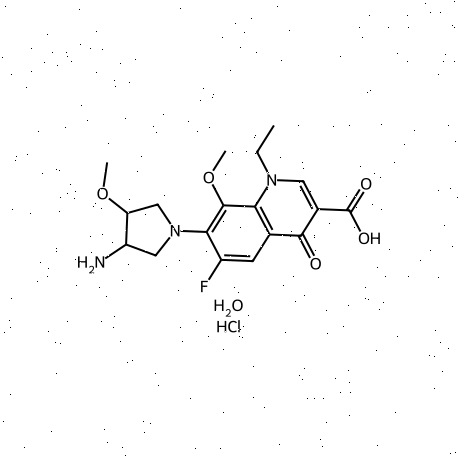 CCn1cc(C(=O)O)c(=O)c2cc(F)c(N3CC(N)C(OC)C3)c(OC)c21.Cl.O